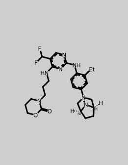 CCc1cc(N2C[C@H]3CC[C@@H](C2)N3C)ccc1Nc1ncc(C(F)F)c(NCCCN2CCCOC2=O)n1